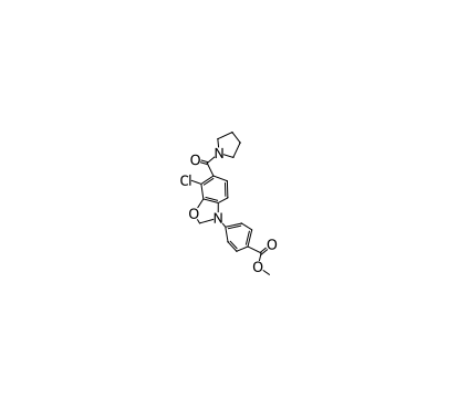 COC(=O)c1ccc(N2COc3c2ccc(C(=O)N2CCCC2)c3Cl)cc1